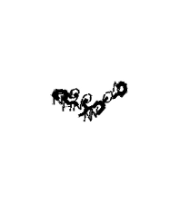 Cc1nn2ccc(OCc3ccccn3)cc2c1C(=O)N[C@H](CO)Cc1ncccn1